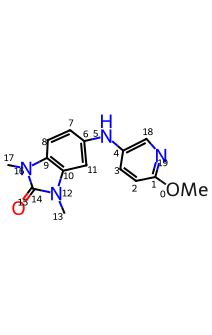 COc1ccc(Nc2ccc3c(c2)n(C)c(=O)n3C)cn1